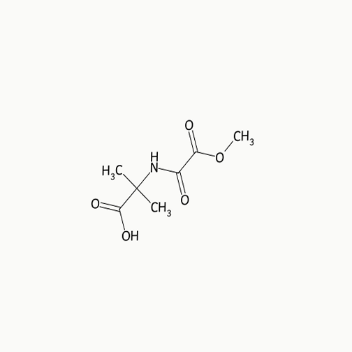 COC(=O)C(=O)NC(C)(C)C(=O)O